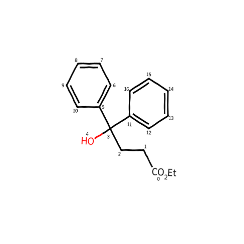 CCOC(=O)CCC(O)(c1ccccc1)c1ccccc1